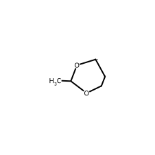 CC1O[CH]CCO1